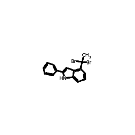 CC(Br)(Br)c1cccc2[nH]c(-c3ccccc3)cc12